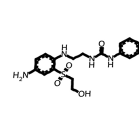 Nc1ccc(NCCNC(=O)Nc2ccccc2)c(S(=O)(=O)CCO)c1